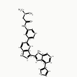 CN(C)CC(=O)Nc1cncc(-c2ccc3[nH]nc(-c4nc5c(-c6ccsc6)cncc5[nH]4)c3n2)c1